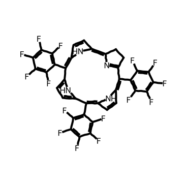 Fc1c(F)c(F)c(-c2c3nc(c4ccc([nH]4)c(-c4c(F)c(F)c(F)c(F)c4F)c4ccc([nH]4)c(-c4c(F)c(F)c(F)c(F)c4F)c4ccc2[nH]4)CC3)c(F)c1F